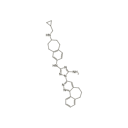 Nc1nc(Nc2ccc3c(c2)CCC(NCC2CC2)CC3)nn1-c1cc2c(nn1)-c1ccccc1CCC2